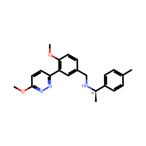 COc1ccc(-c2cc(CN[C@H](C)c3ccc(C)cc3)ccc2OC)nn1